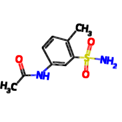 CC(=O)Nc1ccc(C)c(S(N)(=O)=O)c1